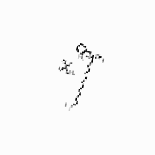 CCCCCCCCCCCC[N+](C)(C)Cc1ccccc1.CS(=O)(=O)[O-]